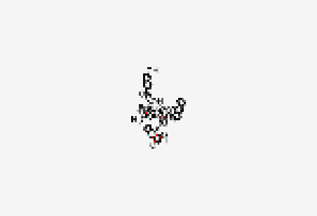 CC(CC(C)(CC(C)(CC(C)(C)C(=O)OCc1c2ccccc2cc2ccccc12)C(=O)OCC12c3ccccc3C(c3ccccc31)C1C(=O)NC(=O)C12)C(=O)OCC(O)COC(=O)c1ccc2cc(O)ccc2c1)C(=O)OC(C)(C)C